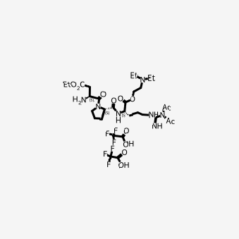 CCOC(=O)C[C@H](N)C(=O)N1CCC[C@H]1C(=O)N[C@@H](CCCNC(=N)N(C(C)=O)C(C)=O)C(=O)OCCN(CC)CC.O=C(O)C(F)(F)F.O=C(O)C(F)(F)F